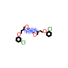 Clc1cccc(OCCC2COC(NNC3=N[C@@H](CCOc4ccccc4Cl)CO3)=N2)c1